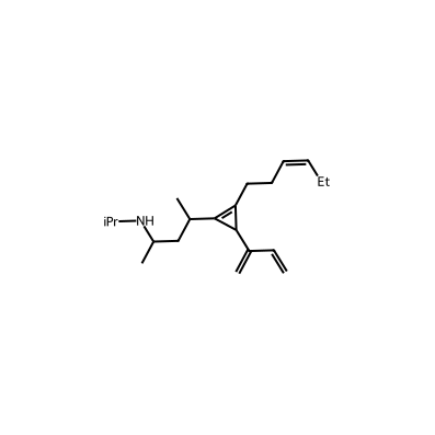 C=CC(=C)C1C(CC/C=C\CC)=C1C(C)CC(C)NC(C)C